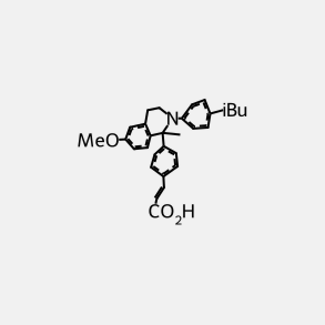 CCC(C)c1ccc(N2CCc3cc(OC)ccc3C2(C)c2ccc(C=CC(=O)O)cc2)cc1